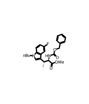 CCCCn1cc([C@@H](C)[C@@H](NC(=O)OCc2ccccc2)C(=O)OC)c2cc(F)ccc21